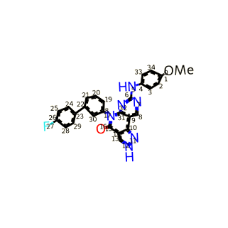 COc1ccc(Nc2ncc3c4n[nH]cc4c(=O)n(-c4cccc(-c5ccc(F)cc5)c4)c3n2)cc1